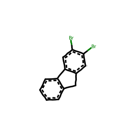 Brc1[c]c2c(cc1Br)-c1ccccc1C2